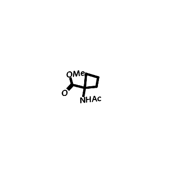 COC(=O)C1(NC(C)=O)CCC1